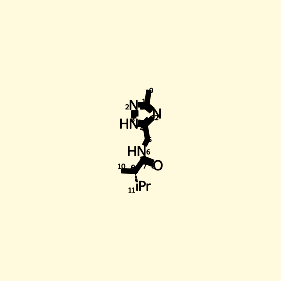 Cc1n[nH]c(CNC(=O)[C@@H](C)C(C)C)n1